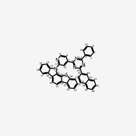 c1ccc(-c2nc(-c3ccnc(-n4c5ccccc5c5ccc6c7ccccc7sc6c54)c3)nc(-c3ccc4ccccc4c3)n2)cc1